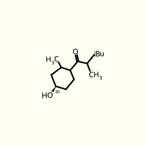 CCC(C)C(C)C(=O)C1CC[C@@H](O)CC1C